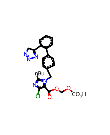 CCCCc1nc(Cl)c(C(=O)OCOC(=O)O)n1Cc1ccc(-c2ccccc2C2=NN=NC2)cc1